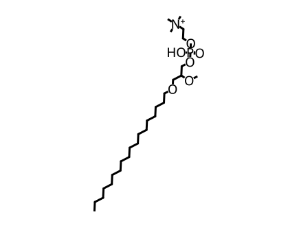 CCCCCCCCCCCCCCCCCCOCC(COP(=O)(O)OCC[N+](C)(C)C)OC